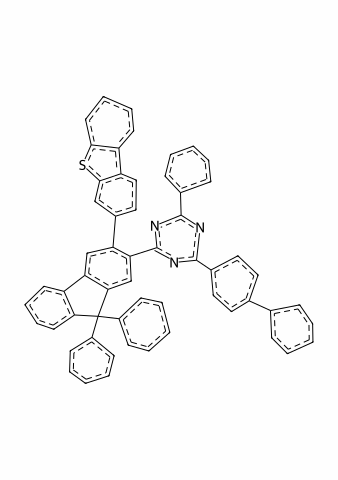 c1ccc(-c2ccc(-c3nc(-c4ccccc4)nc(-c4cc5c(cc4-c4ccc6c(c4)sc4ccccc46)-c4ccccc4C5(c4ccccc4)c4ccccc4)n3)cc2)cc1